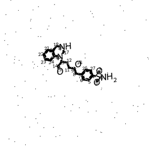 NS(=O)(=O)c1ccc(CC(=O)CCC(C=O)N2CNCc3ccccc32)cc1